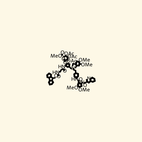 COC(=O)[C@H]1OC(Oc2ccc(C[N+]3(CCc4ccc(NC(=O)c5cc(OC)c(OC)cc5NC(=O)c5cnc6ccccc6c5)cc4)CCc4cc(OC)c(OC)cc4C3)cc2NC(=O)CCNC(=O)OCC2c3ccccc3-c3ccccc32)[C@H](OC(C)=O)[C@@H](OC(C)=O)[C@@H]1OC(C)=O